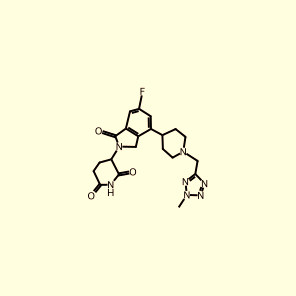 Cn1nnc(CN2CCC(c3cc(F)cc4c3CN(C3CCC(=O)NC3=O)C4=O)CC2)n1